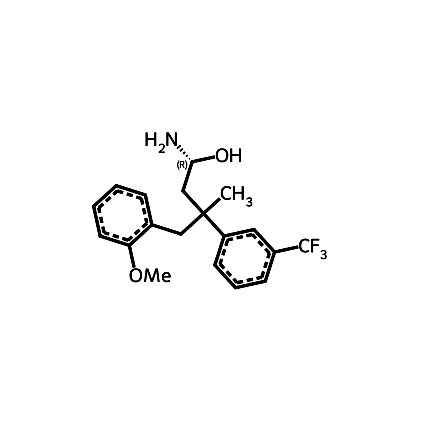 COc1ccccc1CC(C)(C[C@H](N)O)c1cccc(C(F)(F)F)c1